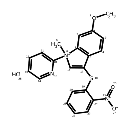 COc1ccc2c(c1)[N+](C)(c1ccccn1)C=C2Sc1ccccc1[N+](=O)[O-].Cl